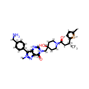 Cc1ccc([C@@H](CC(=O)N2CCC(O)(Cn3cnc4c(-c5ccc(CN)cc5)n(C)nc4c3=O)CC2)C(F)(F)F)s1